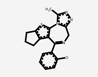 Cc1nnc2n1-c1sc3c(c1C(c1ccccc1Cl)=NC2)CCC3